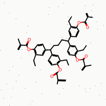 C=C(C)C(=O)Oc1ccc(C(CCCC(c2ccc(OC(=O)C(=C)C)c(CC)c2)c2ccc(OC(=O)C(=C)C)c(CC)c2)c2ccc(OC(=O)C(=C)C)c(CC)c2)cc1CC